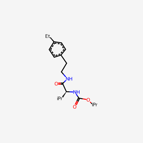 CCc1ccc(CCNC(=O)[C@@H](NC(=O)OC(C)C)C(C)C)cc1